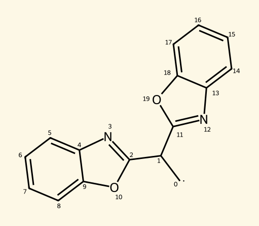 [CH2]C(c1nc2ccccc2o1)c1nc2ccccc2o1